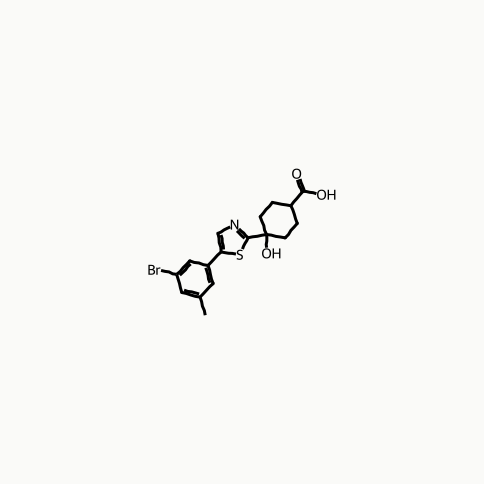 Cc1cc(Br)cc(-c2cnc(C3(O)CCC(C(=O)O)CC3)s2)c1